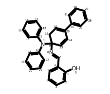 Oc1ccccc1C=NC1(N(c2ccccc2)c2ccccc2)C=CC(c2ccccc2)=CC1